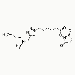 CCCCN(C)Cc1cn(CCCCCC(=O)ON2C(=O)CCC2=O)nn1